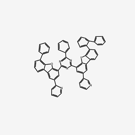 c1ccc(-c2nc(-c3cc(-c4ccccn4)cc4c3oc3c(-c5ccccc5)cccc34)nc(-c3cc(-c4cccnc4)cc4c3sc3c(-c5ccccc5-c5ccccc5)cccc34)n2)cc1